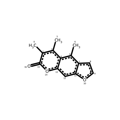 Cc1c(C)c2c(C)c3ccoc3cc2oc1=O